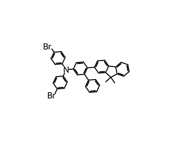 CC1(C)c2ccccc2-c2ccc(-c3ccc(N(c4ccc(Br)cc4)c4ccc(Br)cc4)cc3-c3ccccc3)cc21